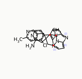 Cc1cc2c(cn1)CC1(CCN(C3=C\C=N/C4=C(c5ccnc(N)c5Cl)C=C\C(=N\3)N4C)CC1)C2